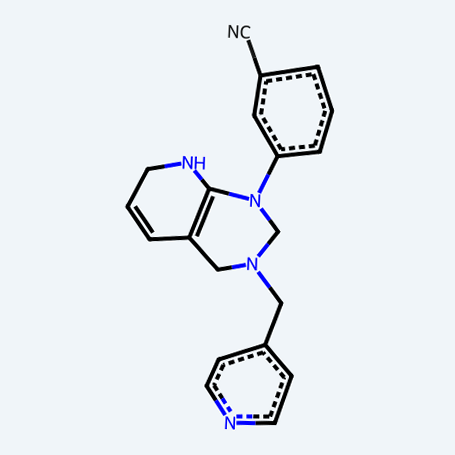 N#Cc1cccc(N2CN(Cc3ccncc3)CC3=C2NCC=C3)c1